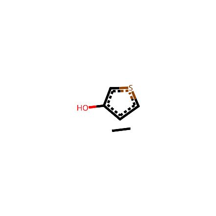 CC.Oc1ccsc1